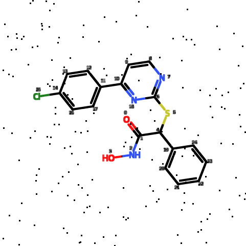 O=C(NO)C(Sc1nccc(-c2ccc(Cl)cc2)n1)c1ccccc1